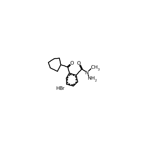 Br.CN(N)C(=O)c1ccccc1C(=O)C1CCCCC1